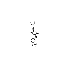 CCN(C=Nc1cc(C)c(Oc2cccc(C(F)(F)F)c2)cc1C)CC